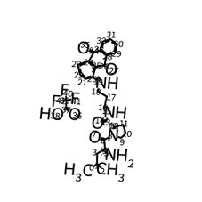 CC(C)C[C@H](N)C(=O)N1CCC[C@H]1C(=O)NCCCNc1cccc2c1C(=O)c1ccccc1C2=O.O=C(O)C(F)(F)F